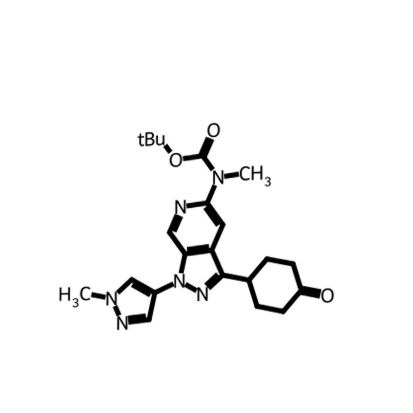 CN(C(=O)OC(C)(C)C)c1cc2c(C3CCC(=O)CC3)nn(-c3cnn(C)c3)c2cn1